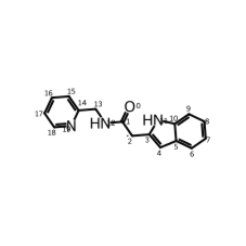 O=C([CH]c1cc2ccccc2[nH]1)NCc1ccccn1